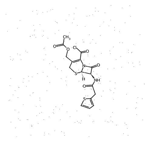 CC(=O)OCC1=C(C(=O)Cl)N2C(=O)[C@@H](NC(=O)Cc3cccs3)[C@H]2SC1